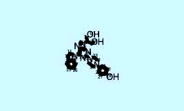 OCC(CO)n1cnc2c(N3CCc4ccccc43)nc(N3CCN(c4ccc(O)cc4)CC3)nc21